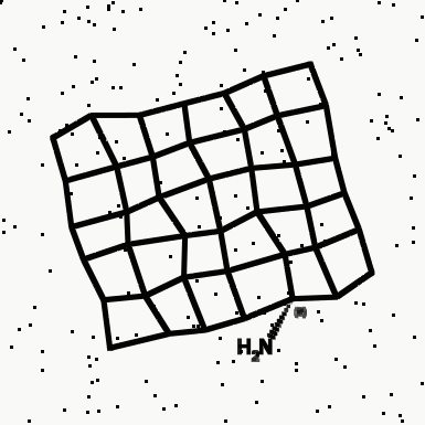 N[C@]12C3CC4C5C6C7CC8C9C%10C%11C%12CC%13C%14C%15C%16CC%17C%18C1C1%19C%18%20C%16%17C%15%16C%14%15C%13%12C%11%12C%10%11C9%10C87C67C56C43C12C61C%107C%112C%15%12C%16%20C%1921